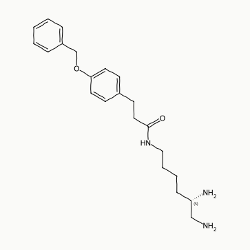 NC[C@@H](N)CCCCNC(=O)CCc1ccc(OCc2ccccc2)cc1